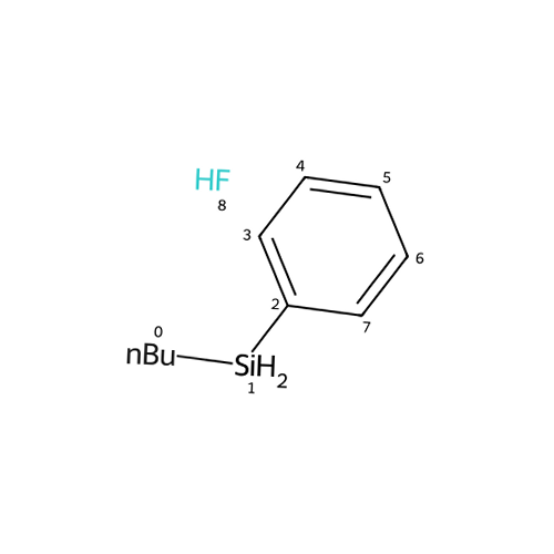 CCCC[SiH2]c1ccccc1.F